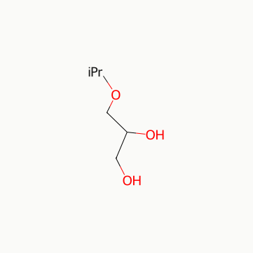 [CH2]C(C)OCC(O)CO